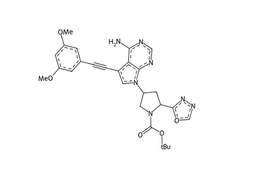 COc1cc(C#Cc2cn(C3CC(c4nnco4)N(C(=O)OC(C)(C)C)C3)c3ncnc(N)c23)cc(OC)c1